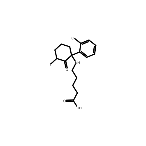 O=C(O)CCCCNC1(c2ccccc2Cl)CCCC(I)C1=O